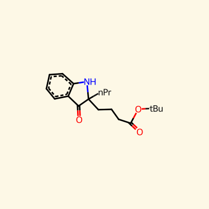 CCCC1(CCCC(=O)OC(C)(C)C)Nc2ccccc2C1=O